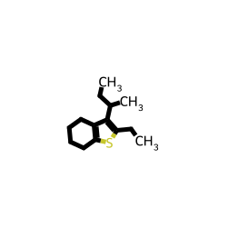 CCc1sc2c(c1C(C)CC)CCCC2